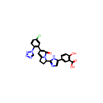 O=C(O)c1cc(-c2cnc(C3CCc4cc(-c5cc(Cl)ccc5-n5cnnn5)cc(=O)n43)[nH]2)ccc1O